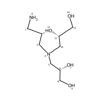 NCCCN(C[C@H](O)CO)C[C@H](O)CO